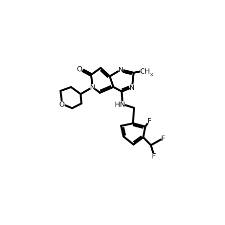 Cc1nc(NCc2cccc(C(F)F)c2F)c2cn(C3CCOCC3)c(=O)cc2n1